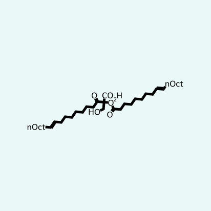 CCCCCCCCC=CCCCCCCCC(=O)OC(CO)(C(=O)O)C(=O)CCCCCCCC=CCCCCCCCC